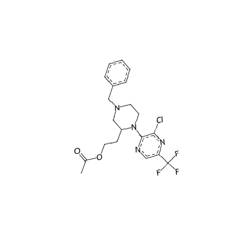 CC(=O)OCCC1CN(Cc2ccccc2)CCN1c1ncc(C(F)(F)F)nc1Cl